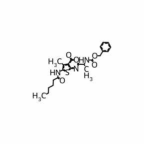 CCCCCC(=O)Nc1sc2nc(C(C)NC(=O)OCc3ccccc3)oc(=O)c2c1C